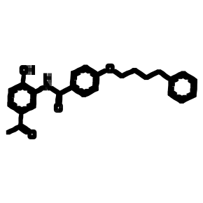 CC(=O)c1ccc(O)c(NC(=O)c2ccc(OCCCCc3ccccc3)cc2)c1